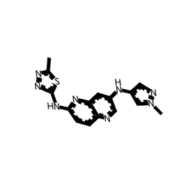 Cc1nnc(Nc2ccc3ncc(Nc4cnn(C)c4)cc3n2)s1